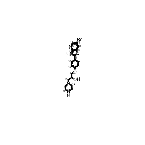 OC(COc1ccc(-c2nc3cc(Br)cnc3[nH]2)cc1)CN1CCNCC1